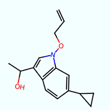 C=CCOn1cc(C(C)O)c2ccc(C3CC3)cc21